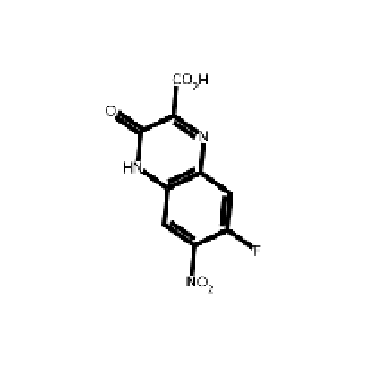 O=C(O)c1nc2cc(F)c([N+](=O)[O-])cc2[nH]c1=O